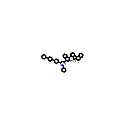 CC1(C)c2ccc3ccccc3c2-c2cccc(-c3ccc(-c4cc(-c5ccc(-c6ccc(-c7ccccc7)cc6)cc5)nc(-c5ccccc5)n4)c4ccccc34)c21